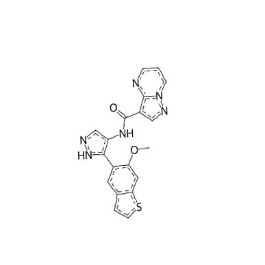 COc1cc2sccc2cc1-c1[nH]ncc1NC(=O)c1cnn2cccnc12